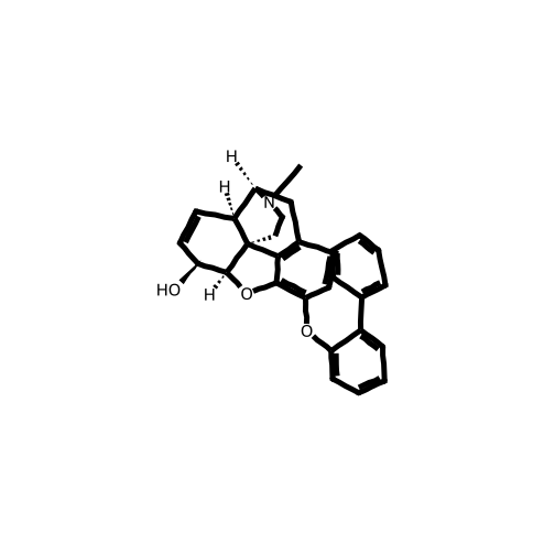 CN1CC[C@]23c4c5ccc(Oc6ccccc6-c6ccccc6)c4O[C@H]2[C@@H](O)C=C[C@H]3[C@H]1C5